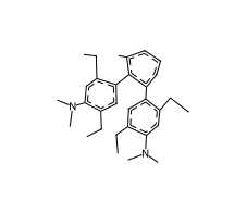 CCc1cc(N(C)C)c(CC)cc1-c1cccc(C)c1-c1cc(CC)c(N(C)C)cc1CC